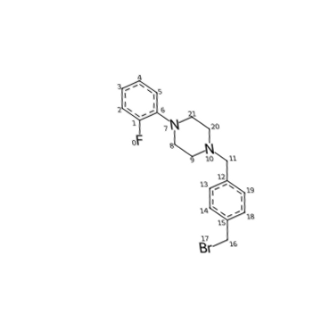 Fc1ccccc1N1CCN(Cc2ccc(CBr)cc2)CC1